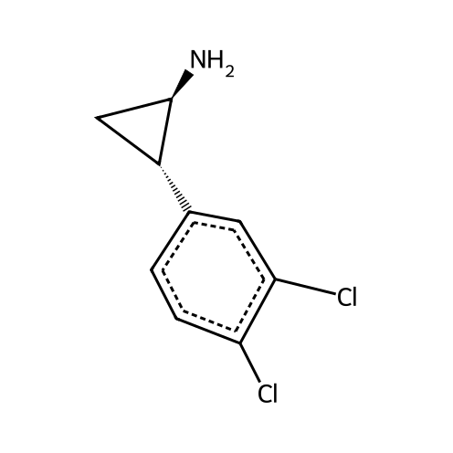 N[C@@H]1C[C@H]1c1ccc(Cl)c(Cl)c1